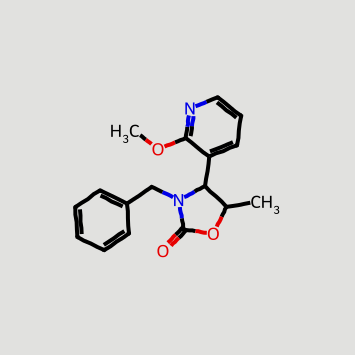 COc1ncccc1C1C(C)OC(=O)N1Cc1ccccc1